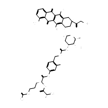 COc1cccc2c1C(=O)c1c(O)c3c(c(O)c1C2=O)C[C@@](O)(C(=O)CO)C[C@@H]3O[C@H]1C[C@H](NC(=O)OCc2ccc(NC(=O)[C@H](CCCNC(N)=O)NC(=O)[C@@H](N)C(C)C)cc2S(=O)(=O)O)[C@H](O)[C@H](C)O1